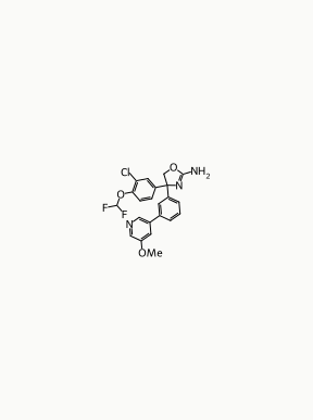 COc1cncc(-c2cccc(C3(c4ccc(OC(F)F)c(Cl)c4)COC(N)=N3)c2)c1